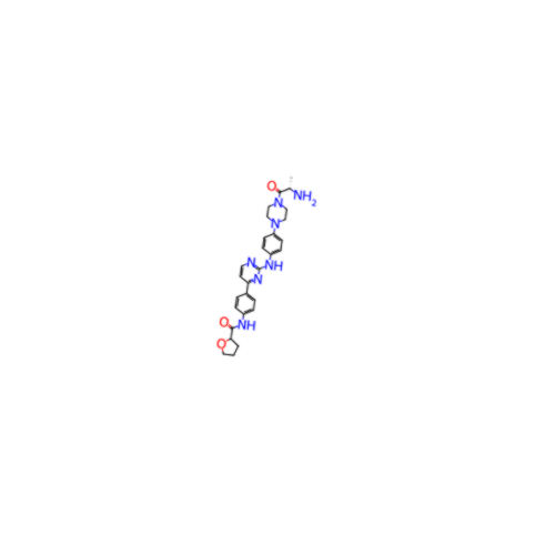 C[C@H](N)C(=O)N1CCN(c2ccc(Nc3nccc(-c4ccc(NC(=O)C5CCCO5)cc4)n3)cc2)CC1